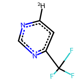 [2H]c1cc(C(F)(F)F)ncn1